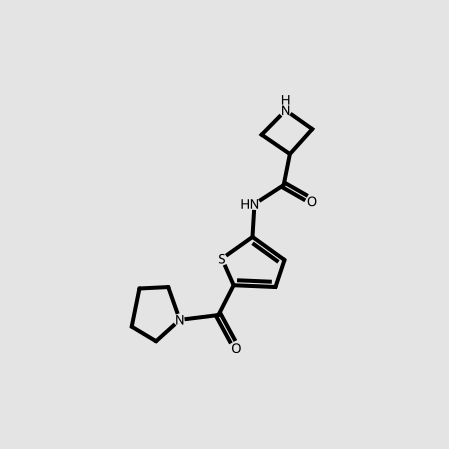 O=C(Nc1ccc(C(=O)N2CCCC2)s1)C1CNC1